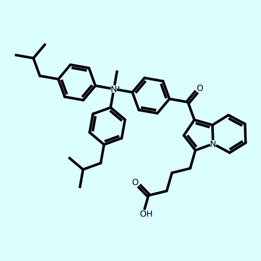 CC(C)Cc1ccc([N+](C)(c2ccc(CC(C)C)cc2)c2ccc(C(=O)c3cc(CCCC(=O)O)n4ccccc34)cc2)cc1